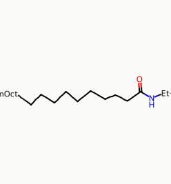 C[CH]NC(=O)CCCCCCCCCCCCCCCCC